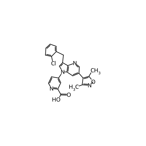 Cc1noc(C)c1-c1cnc2c(Cc3ccccc3Cl)cn(-c3ccnc(C(=O)O)c3)c2c1